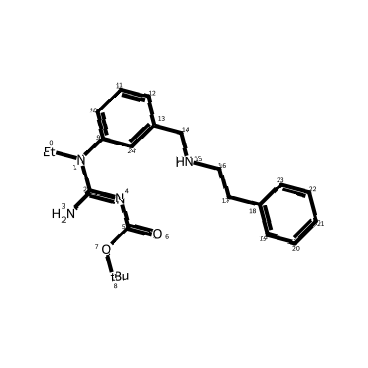 CCN(C(N)=NC(=O)OC(C)(C)C)c1cccc(CNCCc2ccccc2)c1